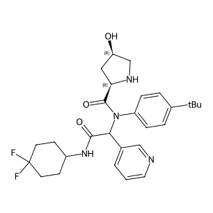 CC(C)(C)c1ccc(N(C(=O)[C@H]2C[C@@H](O)CN2)C(C(=O)NC2CCC(F)(F)CC2)c2cccnc2)cc1